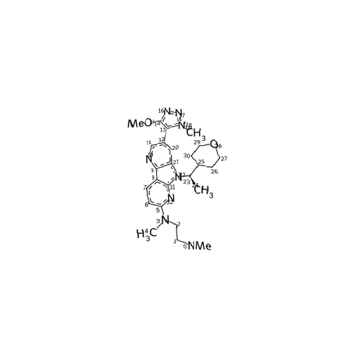 CNCCN(C)c1ccc2c3ncc(-c4c(OC)nnn4C)cc3n([C@H](C)C3CCOCC3)c2n1